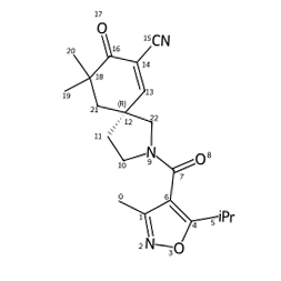 Cc1noc(C(C)C)c1C(=O)N1CC[C@]2(C=C(C#N)C(=O)C(C)(C)C2)C1